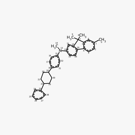 Cc1ccc2c(c1)C(C)(C)c1cc(N(C)c3ccc(C4CCC(c5ccccc5)CC4)cc3)ccc1-2